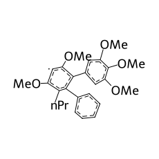 CCCc1c(OC)[c]c(OC)c(-c2cc(OC)c(OC)c(OC)c2)c1-c1ccccc1